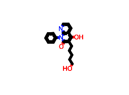 O=c1c(CCCCCO)c(O)c2cccnc2n1-c1ccccc1